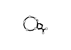 O=C(Cl)c1ccc2c(c1)OCCOCCOCCOCCO2